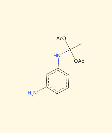 CC(=O)OC(C)(Nc1cccc(N)c1)OC(C)=O